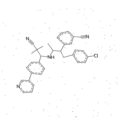 CC(NC(c1ccc(-c2cccnc2)cc1)C(C)(C)C#N)C(Cc1ccc(Cl)cc1)c1cccc(C#N)c1